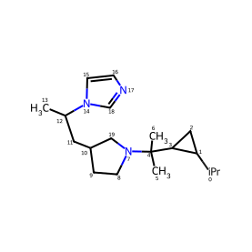 CC(C)C1CC1C(C)(C)N1CCC(CC(C)n2ccnc2)C1